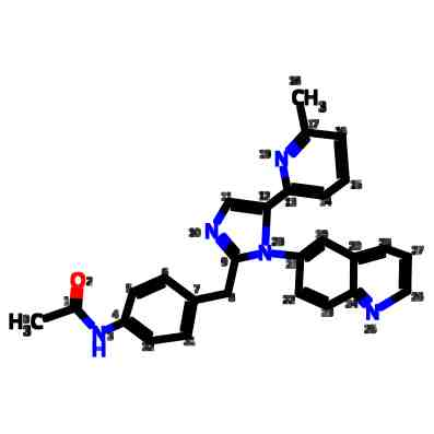 CC(=O)Nc1ccc(Cc2ncc(-c3cccc(C)n3)n2-c2ccc3ncccc3c2)cc1